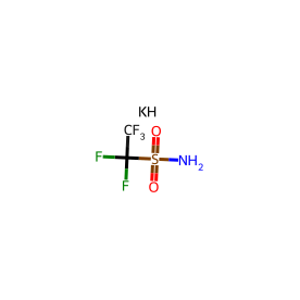 NS(=O)(=O)C(F)(F)C(F)(F)F.[KH]